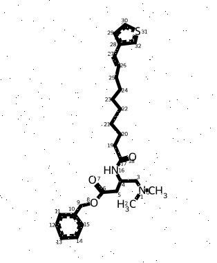 CN(C)CC(CC(=O)OCc1ccccc1)NC(=O)CCCCCCCC=Cc1ccsc1